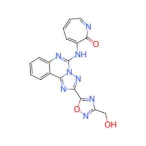 O=c1nccccc1Nc1nc2ccccc2c2nc(-c3nc(CO)no3)nn12